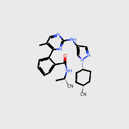 Cc1cnc(Nc2cnn([C@H]3CC[C@@H](C#N)CC3)c2)nc1-c1ccccc1C(=O)N[C@@H](C)C#N